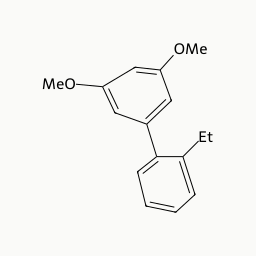 CCc1ccccc1-c1cc(OC)cc(OC)c1